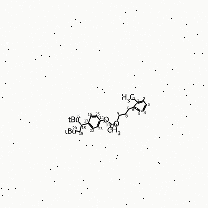 Cc1ccccc1CCCOC(C)Oc1ccc([C@@H](CC(C)(C)C)C(C)(C)C)cc1